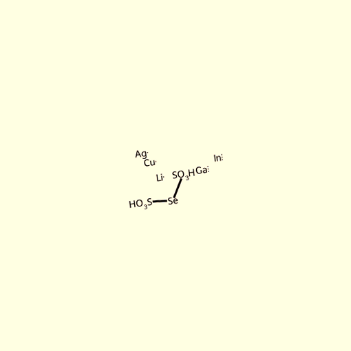 O=S(=O)(O)[Se]S(=O)(=O)O.[Ag].[Cu].[Ga].[In].[Li]